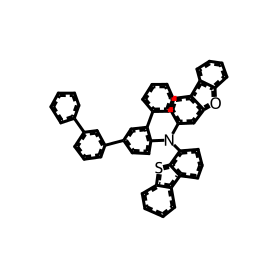 c1ccc(-c2cccc(-c3ccc(N(c4ccc5c(c4)oc4ccccc45)c4cccc5c4sc4ccccc45)c(-c4ccccc4)c3)c2)cc1